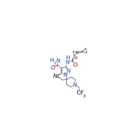 N#CCC1(n2cc(C(N)=O)c(NC(=O)[C@H]3C[C@H]3C3CC3)n2)CCN(CC(F)(F)F)CC1